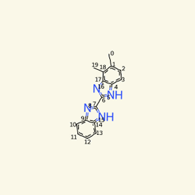 Cc1ccc2[nH]c(-c3nc4ccccc4[nH]3)nc2c1C